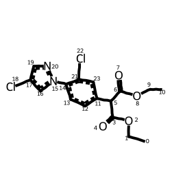 CCOC(=O)C(C(=O)OCC)c1ccc(-n2cc(Cl)cn2)c(Cl)c1